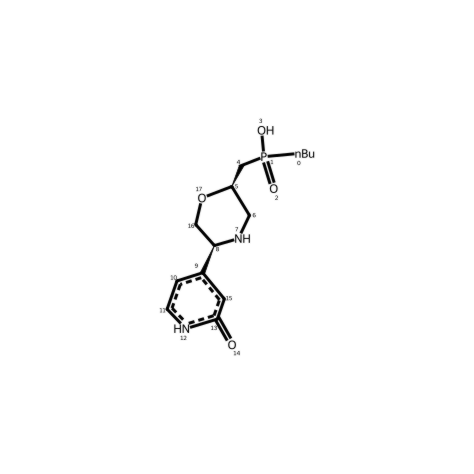 CCCCP(=O)(O)C[C@H]1CN[C@@H](c2cc[nH]c(=O)c2)CO1